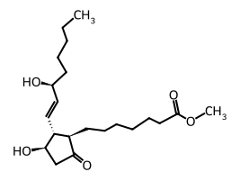 CCCCC[C@H](O)C=C[C@H]1[C@H](O)CC(=O)[C@@H]1CCCCCCC(=O)OC